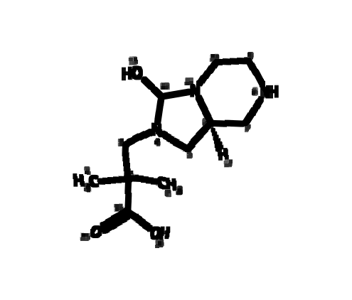 CC(C)(CN1C[C@@H]2CNCCN2C1O)C(=O)O